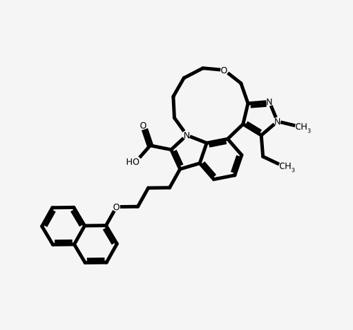 CCc1c2c(nn1C)COCCCCn1c(C(=O)O)c(CCCOc3cccc4ccccc34)c3cccc-2c31